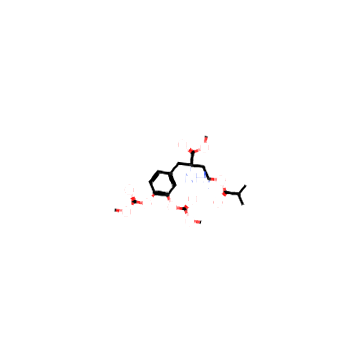 COC(=O)Oc1ccc(C[C@](N)(CCOC(=O)C(C)C)C(=O)OC)cc1OC(=O)OC